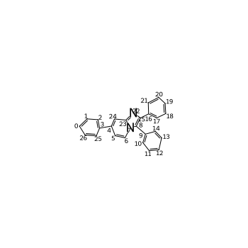 c1ccc(-c2ccn3c(-c4ccccc4)c(-c4ccccc4)nc3c2)cc1